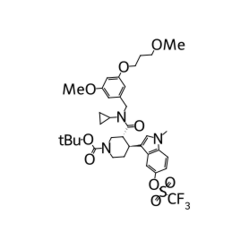 COCCCOc1cc(CN(C(=O)[C@H]2CN(C(=O)OC(C)(C)C)CC[C@@H]2c2cn(C)c3ccc(OS(=O)(=O)C(F)(F)F)cc23)C2CC2)cc(OC)c1